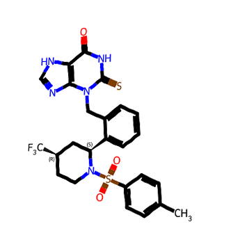 Cc1ccc(S(=O)(=O)N2CC[C@@H](C(F)(F)F)C[C@H]2c2ccccc2Cn2c(=S)[nH]c(=O)c3[nH]cnc32)cc1